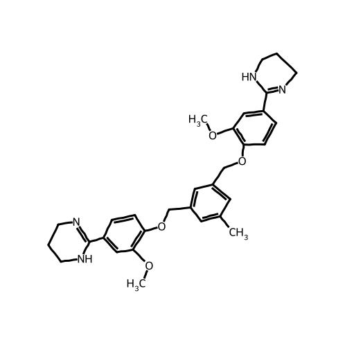 COc1cc(C2=NCCCN2)ccc1OCc1cc(C)cc(COc2ccc(C3=NCCCN3)cc2OC)c1